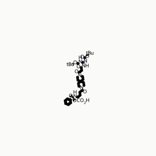 CC(C)(C)OC(=O)/N=C(/NCCC(=O)N1CCC2(CC1)CCN(C(=O)CCC(NS(=O)(=O)c1ccccc1)C(=O)O)CC2)NC(=O)OC(C)(C)C